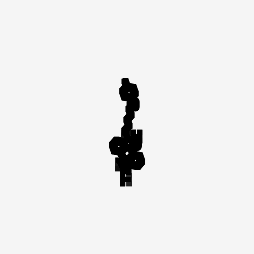 Cc1ccc(OCCCCCNc2cccc3c2C(=O)c2cccc4[nH]nc-3c24)cc1